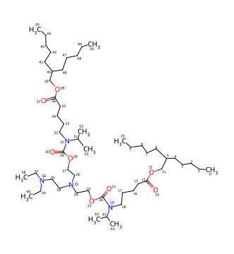 CCCCCC(CCCCC)COC(=O)CCCCN(C(=O)OCCN(CCOC(=O)N(CCCCC(=O)OCC(CCCCC)CCCCC)C(C)C)CCN(CC)CC)C(C)C